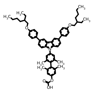 CCCCC(CC)COc1ccc(-c2ccc3c(c2)c2cc(-c4ccc(OCC(CC)CCCC)cc4)ccc2n3-c2cc(C)c(-c3c(C)cc(OC(=O)O)cc3C)c(C)c2)cc1